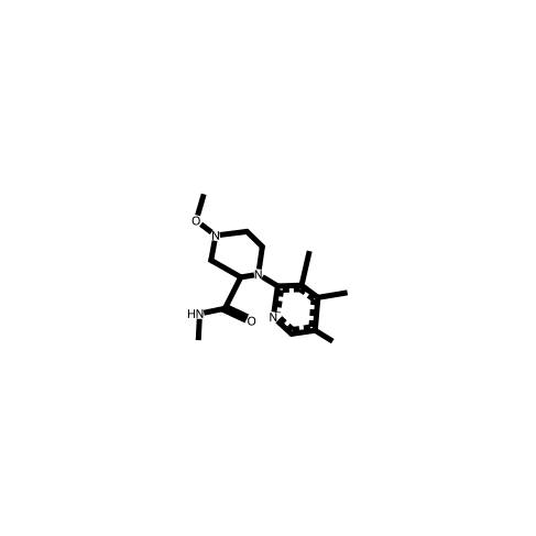 CNC(=O)C1CN(OC)CCN1c1ncc(C)c(C)c1C